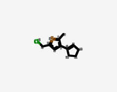 Cc1sc(CCl)cc1C1=CCCC1